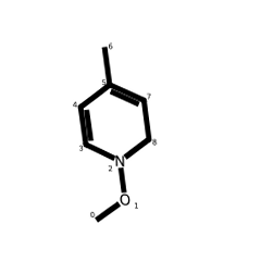 CON1C=CC(C)=CC1